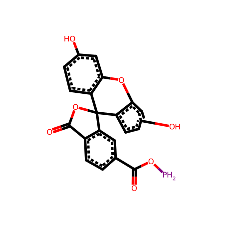 O=C(OP)c1ccc2c(c1)C1(OC2=O)c2ccc(O)cc2Oc2cc(O)ccc21